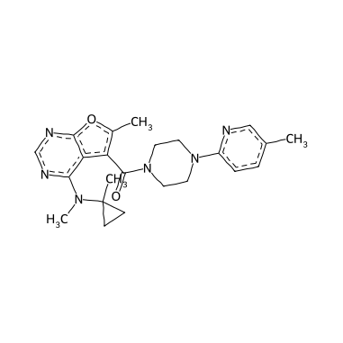 Cc1ccc(N2CCN(C(=O)c3c(C)oc4ncnc(N(C)C5(C)CC5)c34)CC2)nc1